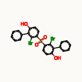 O=S(=O)(c1ccc(O)c(-c2ccccc2)c1Br)c1ccc(O)c(-c2ccccc2)c1Br